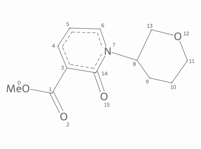 COC(=O)c1cccn(C2CCCOC2)c1=O